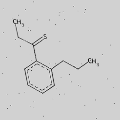 CCCc1ccccc1C(=S)CC